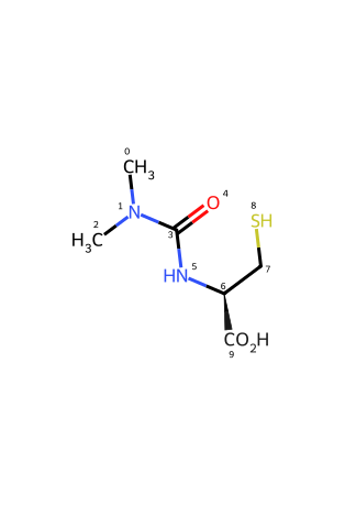 CN(C)C(=O)N[C@@H](CS)C(=O)O